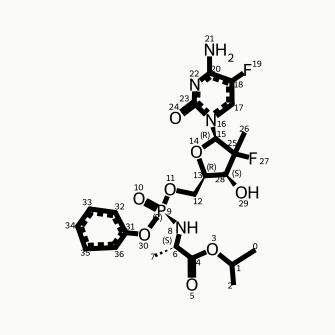 CC(C)OC(=O)[C@H](C)N[P@@](=O)(OC[C@H]1O[C@@H](n2cc(F)c(N)nc2=O)C(C)(F)[C@H]1O)Oc1ccccc1